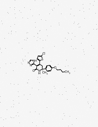 CCCCOc1ccc([C@]2(C)CC(c3ccc(Cl)s3)=C(c3nnc[nH]3)C(=O)N2)cc1